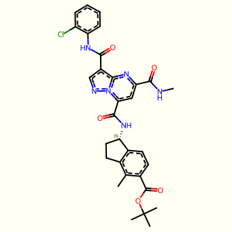 CNC(=O)c1cc(C(=O)N[C@H]2CCc3c2ccc(C(=O)OC(C)(C)C)c3C)n2ncc(C(=O)Nc3ccccc3Cl)c2n1